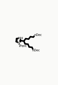 CCCCCCCCCCCCCCC(CCCCCCCCCCCCCC)c1[nH]cc[n+]1C(C)CCC